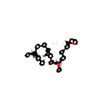 CC1(C)c2cc(-c3cccc(-c4cccc(-c5nc(-c6ccccc6)nc(-c6ccc(-c7ccccc7)cc6)n5)c4)c3)ccc2-c2ccc(-c3cccc(-c4nc(-c5ccccc5)nc(-c5cccc(-c6cccc(-c7ccc8c(c7)C(C)(C)c7ccc9ccccc9c7-8)c6)c5)n4)c3)cc21